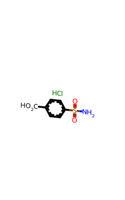 Cl.NS(=O)(=O)c1ccc(C(=O)O)cc1